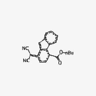 CCCCOC(=O)c1ccc(=C(C#N)C#N)c2c1-c1ccccc1C=2